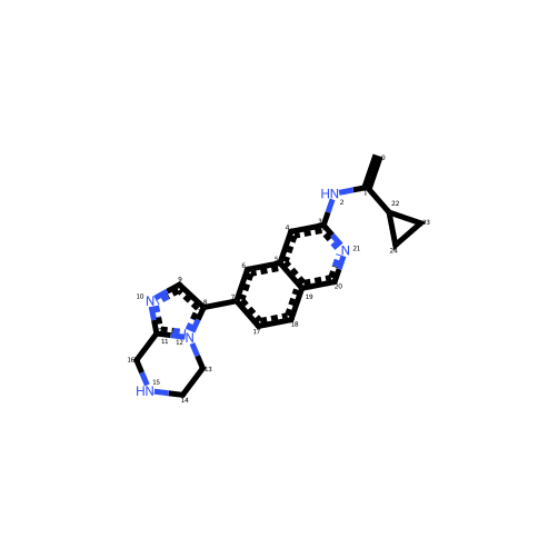 C=C(Nc1cc2cc(-c3cnc4n3CCNC4)ccc2cn1)C1CC1